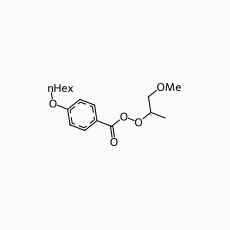 CCCCCCOc1ccc(C(=O)OO[C](C)COC)cc1